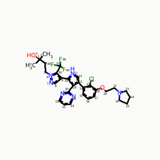 CC(C)(O)CCn1ncc(-c2[nH]cc(-c3cccc(OCCN4CCCC4)c3Cl)c2-c2ncccn2)c1C(F)(F)F